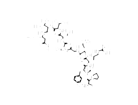 CC[C@H](C)[C@H](NC(=O)CNC(=O)[C@H](CCSC)NC(=O)[C@H](CCCNC(=N)N)NC(=O)[C@H](Cc1ccccc1)NC(=O)[C@@H]1CCCN1C(=O)[C@H](C)NC(C)=O)C(=O)N[C@@H](CS)C(=O)N[C@H](C(=O)N[C@H](C(=O)N[C@@H](CC(N)=O)C(=O)O)[C@@H](C)O)[C@@H](C)O